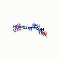 COc1cc(N2CCN([C@H]3CC[C@H](n4cc(-c5cn6ncc(C#N)c6c(-c6ccc(N7C[C@@H]8[C@@H](CNC(=O)OC(C)(C)C)[C@@H]8C7)nc6)n5)cn4)CC3)CC2)c(F)cc1NC1CCC(=O)NC1=O